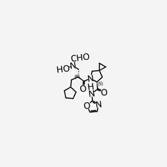 O=CN(O)C[C@@H](CC1CCCC1)C(=O)N1CC2(CC2)C[C@H]1C(=O)Nc1ncco1